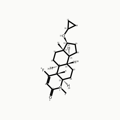 CN1C(=O)C=C(F)[C@]2(C)[C@H]3CC[C@]4(C)[C@@H](OC5CC5)CC[C@H]4[C@@H]3CC[C@@H]12